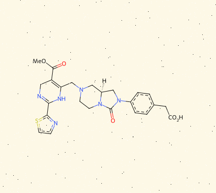 COC(=O)C1=C(CN2CCN3C(=O)N(c4ccc(CC(=O)O)cc4)C[C@@H]3C2)NC(c2nccs2)=NC1